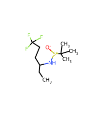 CCC(CCC(F)(F)F)N[S+]([O-])C(C)(C)C